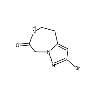 O=C1Cn2nc(Br)cc2CCN1